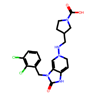 O=C(O)N1CCC(CNN2C=c3c([nH]c(=O)n3Cc3cccc(Cl)c3Cl)=CC2)C1